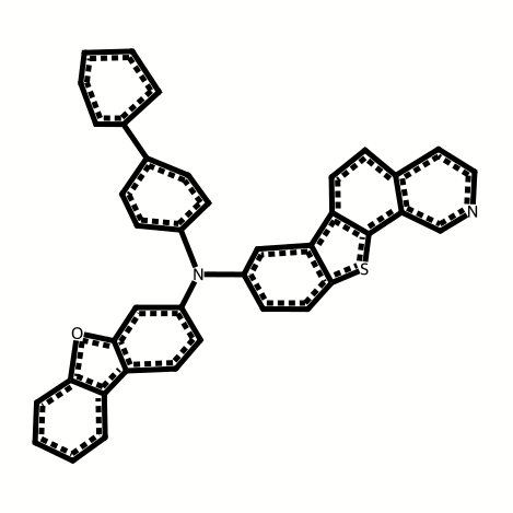 c1ccc(-c2ccc(N(c3ccc4c(c3)oc3ccccc34)c3ccc4sc5c6cnccc6ccc5c4c3)cc2)cc1